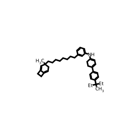 CCC(C)(CC)c1ccc(C2=CC=C(Nc3cccc(CCCCCCCCC4(C)C=C5CCC5=CC4)c3)CC2)cc1